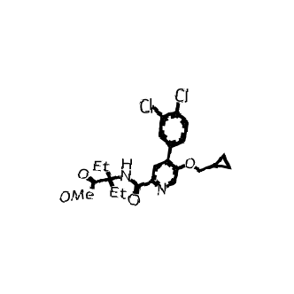 CCC(CC)(NC(=O)c1cc(-c2ccc(Cl)c(Cl)c2)c(OCC2CC2)cn1)C(=O)OC